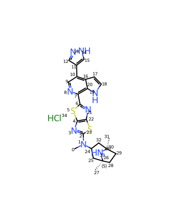 CN(c1nc2sc(-c3ncc(-c4cn[nH]c4)c4cc[nH]c34)nc2s1)C1C[C@]2(C)CC[C@](C)(C1)N2.Cl